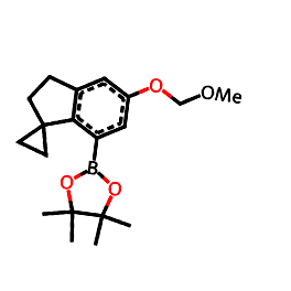 COCOc1cc2c(c(B3OC(C)(C)C(C)(C)O3)c1)C1(CC2)CC1